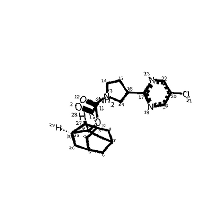 NC(=O)[C@@]12CC3CC(C1)[C@@H](OC(=O)N1CCC(c4ncc(Cl)cn4)C1)[C@@H](C3)C2